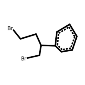 BrCCC(CBr)c1ccccc1